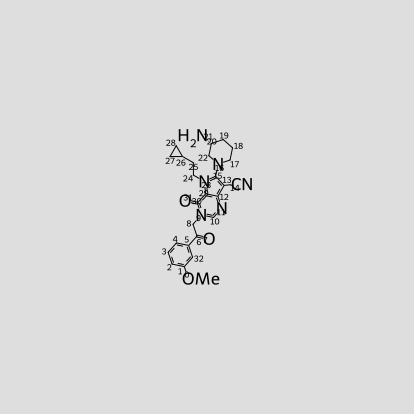 COc1cccc(C(=O)Cn2cnc3c(C#N)c(N4CCC[C@@H](N)C4)n(CCC4CC4)c3c2=O)c1